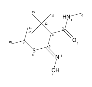 CNC(=O)C(/C(=N/O)SC(C)C)C(C)(C)C